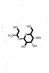 C[C@@H](CO)O[C@H]1OC(CO)[C@H](O)[C@H](O)C1O